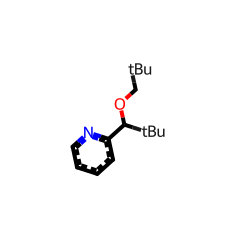 CC(C)(C)COC(c1ccccn1)C(C)(C)C